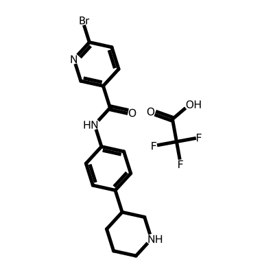 O=C(Nc1ccc(C2CCCNC2)cc1)c1ccc(Br)nc1.O=C(O)C(F)(F)F